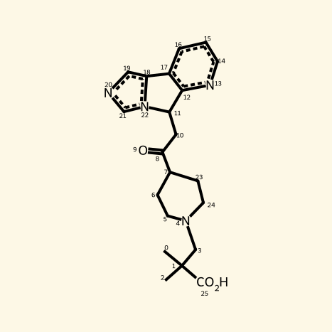 CC(C)(CN1CCC(C(=O)CC2c3ncccc3-c3cncn32)CC1)C(=O)O